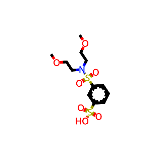 COCCN(CCOC)S(=O)(=O)c1cccc(S(=O)(=O)O)c1